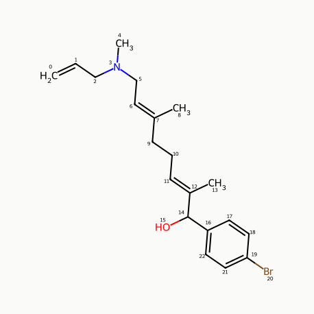 C=CCN(C)C/C=C(\C)CC/C=C(\C)C(O)c1ccc(Br)cc1